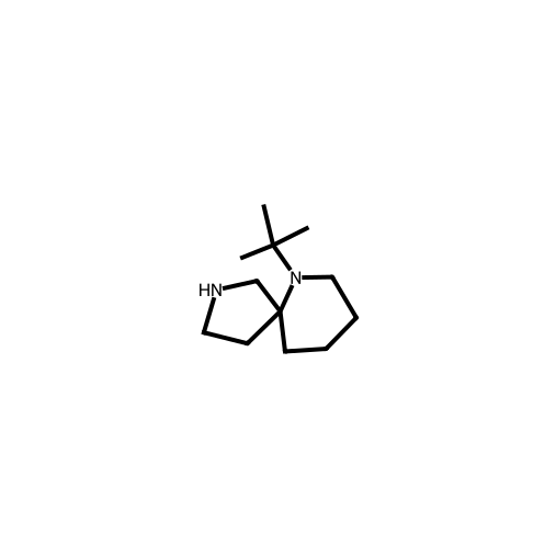 CC(C)(C)N1CCCCC12CCNC2